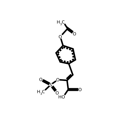 CC(=O)Oc1ccc(C=C(OS(C)(=O)=O)C(=O)O)cc1